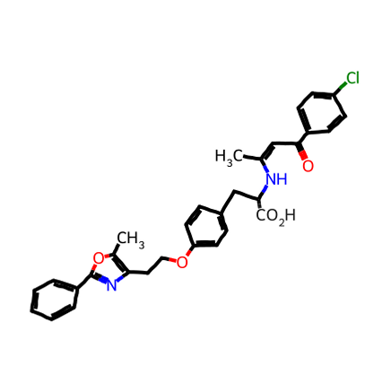 C/C(=C/C(=O)c1ccc(Cl)cc1)NC(Cc1ccc(OCCc2nc(-c3ccccc3)oc2C)cc1)C(=O)O